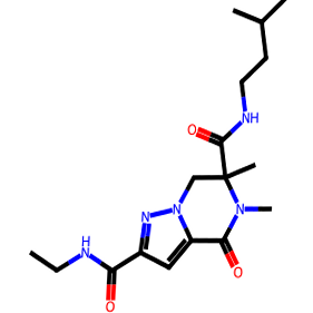 CCNC(=O)c1cc2n(n1)CC(C)(C(=O)NCCC(C)C)N(C)C2=O